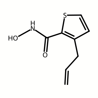 C=CCc1ccsc1C(=O)NO